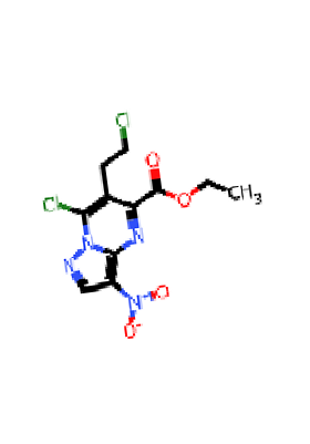 CCOC(=O)c1nc2c([N+](=O)[O-])cnn2c(Cl)c1CCCl